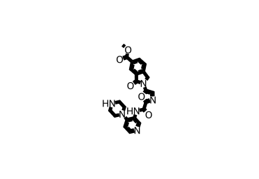 COC(=O)c1ccc2c(c1)C(=O)N(c1cnc(C(=O)Nc3cnccc3N3CCNCC3)o1)C2